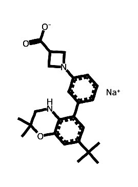 CC1(C)CNc2c(cc(C(C)(C)C)cc2-c2cccc(N3CC(C(=O)[O-])C3)c2)O1.[Na+]